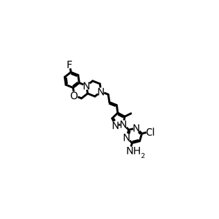 Cc1c(/C=C/CN2CCN3c4cc(F)ccc4OCC3C2)cnn1-c1nc(N)cc(Cl)n1